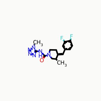 CC1CN(C(=O)Nc2nnnn2C)CC/C1=C\c1ccc(F)c(F)c1